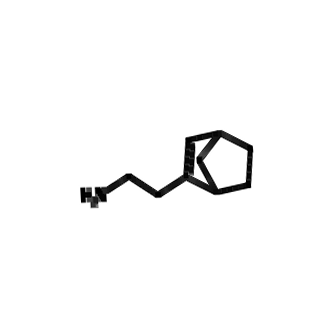 NCCC1=CC2CCC1C2